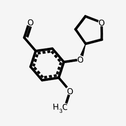 COc1ccc(C=O)cc1O[C@H]1CCOC1